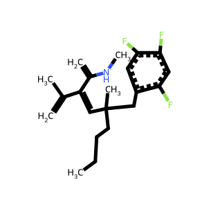 C=C(C)/C(=C/C(C)(CCCC)Cc1cc(F)c(F)cc1F)C(=C)NC